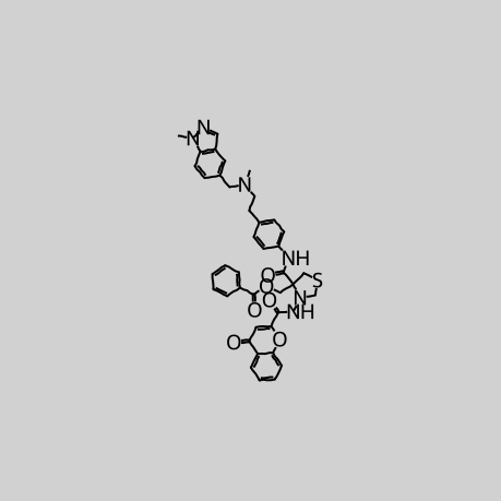 CN(CCc1ccc(NC(=O)C2(COC(=O)c3ccccc3)CSCN2NC(=O)c2cc(=O)c3ccccc3o2)cc1)Cc1ccc2c(cnn2C)c1